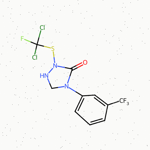 O=C1N(SC(F)(Cl)Cl)NCN1c1cccc(C(F)(F)F)c1